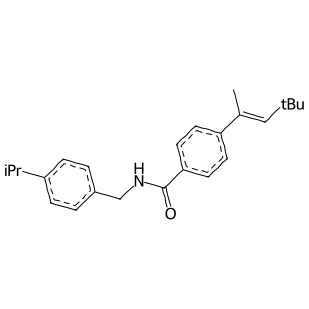 C/C(=C\C(C)(C)C)c1ccc(C(=O)NCc2ccc(C(C)C)cc2)cc1